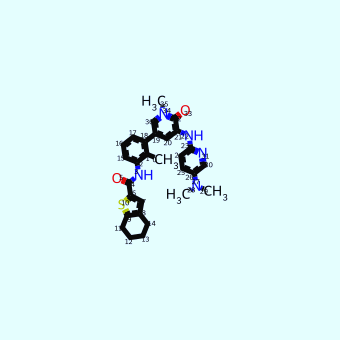 Cc1c(NC(=O)c2cc3c(s2)CCCC3)cccc1-c1cc(Nc2ccc(N(C)C)cn2)c(=O)n(C)c1